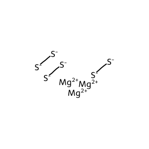 [Mg+2].[Mg+2].[Mg+2].[S-][S-].[S-][S-].[S-][S-]